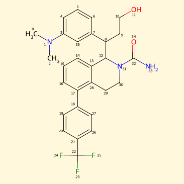 CN(C)c1cccc(C(CCO)C2c3cccc(-c4ccc(C(F)(F)F)cc4)c3CCN2C(N)=O)c1